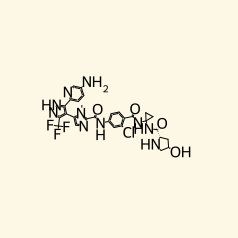 CN(C(=O)c1ccc(NC(=O)c2ncc(-c3c(C(F)(F)F)n[nH]c3-c3ccc(N)cn3)n2C)cc1Cl)C1(NC(=O)[C@@H]2C[C@@H](O)CN2)CC1